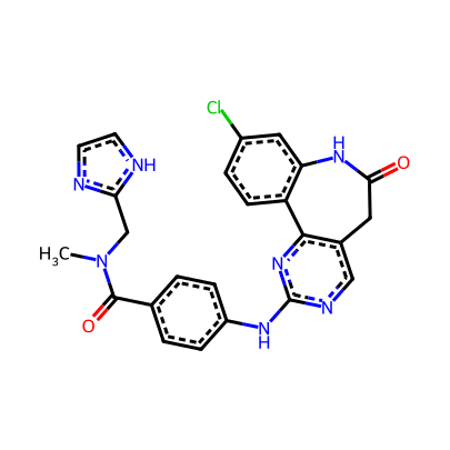 CN(Cc1ncc[nH]1)C(=O)c1ccc(Nc2ncc3c(n2)-c2ccc(Cl)cc2NC(=O)C3)cc1